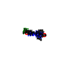 CC(C)N(C)c1nc(NCc2ccc(OC(F)(F)F)nc2)nc2c1N(C=O)CCC2